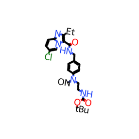 CCc1nc2ccc(Cl)cn2c1C(=O)NCc1ccc(N(CCNC(=O)OC(C)(C)C)N=O)cc1